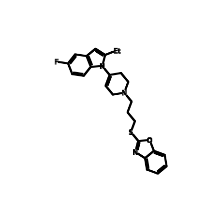 CCc1cc2cc(F)ccc2n1C1=CCN(CCCSc2nc3ccccc3o2)CC1